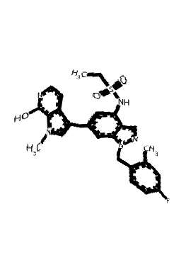 CCS(=O)(=O)Nc1cc(-c2cn(C)c3c(O)nccc23)cc2c1cnn2Cc1ccc(F)cc1C